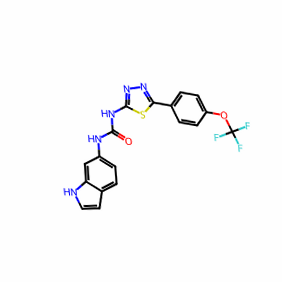 O=C(Nc1ccc2cc[nH]c2c1)Nc1nnc(-c2ccc(OC(F)(F)F)cc2)s1